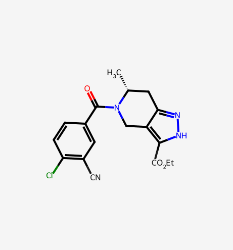 CCOC(=O)c1[nH]nc2c1CN(C(=O)c1ccc(Cl)c(C#N)c1)[C@H](C)C2